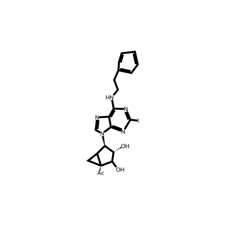 CC(=O)[C@]12CC1[C@@H](n1cnc3c(NCCc4ccccc4)nc(I)nc31)[C@H](O)C2O